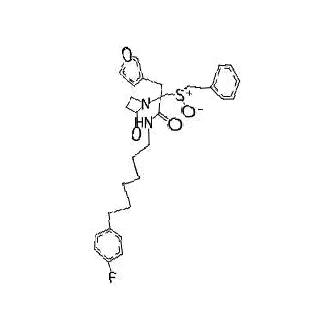 O=C1CCN1C(Cc1ccoc1)(C(=O)NCCCCCCc1ccc(F)cc1)[S+]([O-])Cc1ccccc1